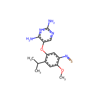 COc1cc(C(C)C)c(Oc2cnc(N)nc2N)cc1N=S